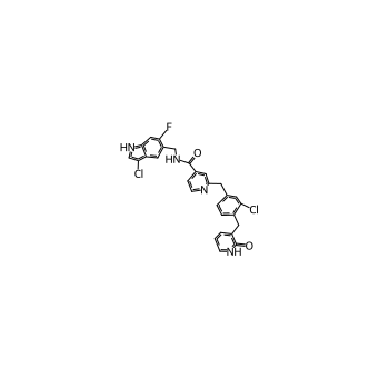 O=C(NCc1cc2c(Cl)c[nH]c2cc1F)c1ccnc(Cc2ccc(Cc3ccc[nH]c3=O)c(Cl)c2)c1